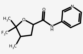 CC1CC(C(=O)Nc2cccnc2)OC1(C)C(F)(F)F